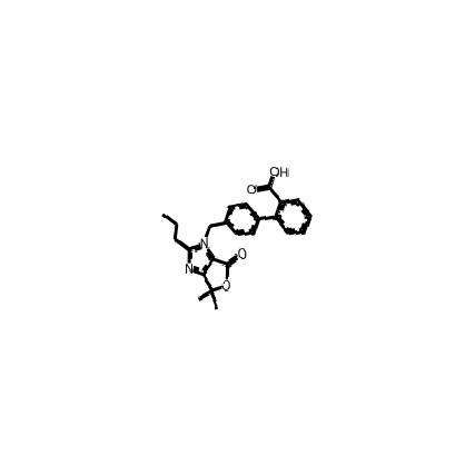 CCCc1nc2c(n1Cc1ccc(-c3ccccc3C(=O)O)cc1)C(=O)OC2(C)C